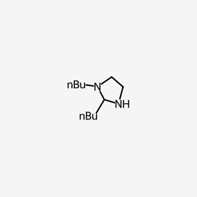 CCCCC1NCCN1CCCC